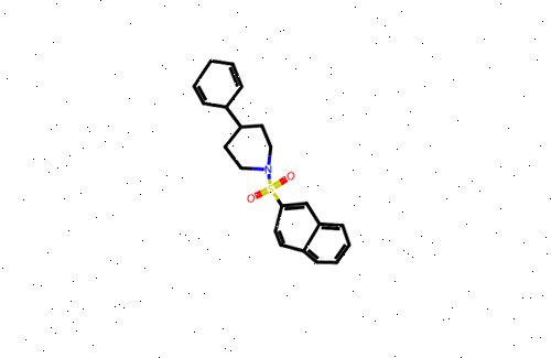 O=S(=O)(c1ccc2ccccc2c1)N1CCC(C2C=CCC=C2)CC1